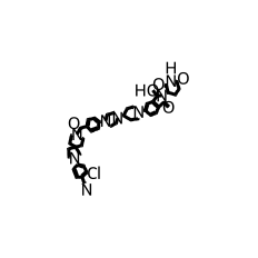 N#Cc1ccc(N2CCC3(CCN(C(=O)c4ccc(N5CCN(C6CCN(c7ccc8c(c7)C(O)N(C7CCC(=O)NC7=O)C8=O)CC6)CC5)cc4)CC3)C2)cc1Cl